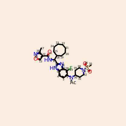 CC(=O)N(c1ccc2[nH]c(C(NC(=O)c3conc3C)C3CCCCCCC3)nc2c1F)C1CCN(S(C)(=O)=O)CC1